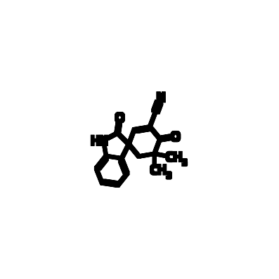 CC1(C)CC2(C=C(C#N)C1=O)C(=O)Nc1ccccc12